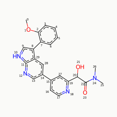 COc1ccccc1-c1c[nH]c2ncc(-c3ccnc(C(O)C(=O)N(C)C)c3)cc12